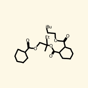 CCC(C)CCOC(=O)C1CCCCC1C(=O)OC(C)(CC)COC(=O)C1CCCCC1